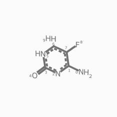 Nc1nc(=O)[nH]cc1F.[HH]